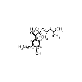 CC(C)CCOC(C)(C)C(=O)c1ccc(O)c(ON)c1